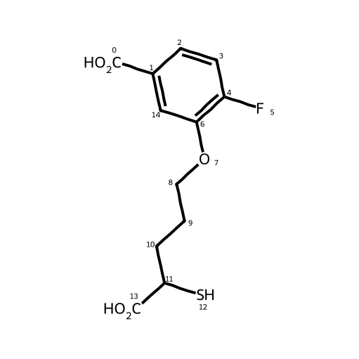 O=C(O)c1ccc(F)c(OCCCC(S)C(=O)O)c1